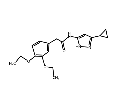 CCOc1ccc(CC(=O)Nc2cc(C3CC3)n[nH]2)cc1OCC